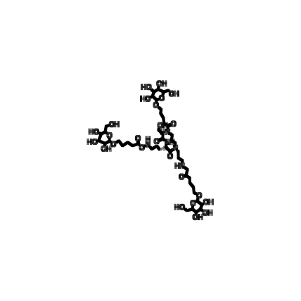 O=C(CCCCOC1OC(CO)C(O)C(O)C1O)CNCCCN(CCCNC(=O)CCCCOC1OC(CO)C(O)C(O)C1O)C(=O)[C@H](CCCNOC(=O)CCCCOC1OC(CO)C(O)C(O)C1O)NC(=O)CCO